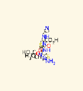 CC(C)(O/N=C(\C(=O)NC1C(=O)N2C(C(=O)O)=C(CNCc3cccnc3)CS[C@@H]12)c1csc(N)n1)C(=O)O